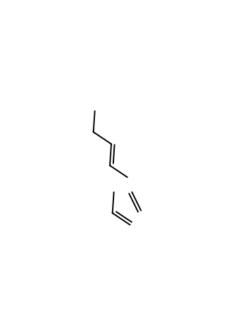 C=C.C=CC.CC=CCC